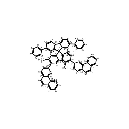 Cc1cc(C2(c3cc(C)c(-c4ccc5ccc6cccnc6c5n4)cc3C)c3cc(-c4ccccc4)ccc3-c3ccc(-c4ccccc4)cc32)c(C)cc1-c1ccc2ccc3cccnc3c2n1